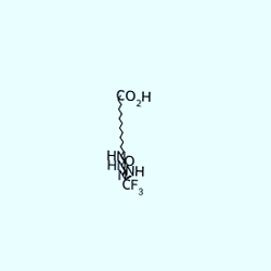 O=C(O)CCCCCCCCCCCCNC(=O)Nc1nc(C(F)(F)F)c[nH]1